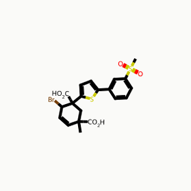 CC1(C(=O)O)C=CC(Br)C(C(=O)O)(c2ccc(-c3cccc(S(C)(=O)=O)c3)s2)C1